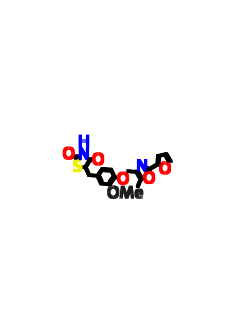 COc1cc(CC2SC(=O)NC2=O)ccc1OCc1nc(-c2ccco2)oc1C